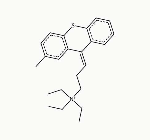 CC[N+](CC)(CC)CCC=C1c2ccccc2Sc2ccc(C)cc21